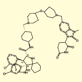 Cn1c(=O)n(C2CCC(=O)NC2=O)c2ccc(CN3CCC(OC4CCN(C[C@H]5CC[C@H](NC(=O)[C@@H]6NC7(CCCCC7)[C@@]7(C(=O)Nc8cc(Cl)ccc87)[C@H]6c6cccc(Cl)c6F)CC5)CC4)CC3)cc21